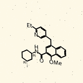 CCc1ccc(Cc2cc(C(=O)N[C@@H]3CCC[C@@H](C)C3)c(OC)c3ccccc23)cn1